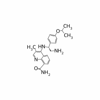 Cc1cnc2c(C(N)=O)cccc2c1N[C@H](CN)c1ccc(OC(C)C)cc1